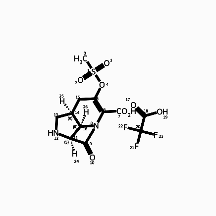 CS(=O)(=O)OC1=C(C(=O)O)N2C(=O)[C@H]3NC[C@@H](C1)[C@H]32.O=C(O)C(F)(F)F